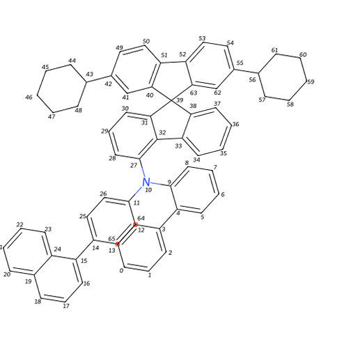 c1ccc(-c2ccccc2N(c2ccc(-c3cccc4ccccc34)cc2)c2cccc3c2-c2ccccc2C32c3cc(C4CCCCC4)ccc3-c3ccc(C4CCCCC4)cc32)cc1